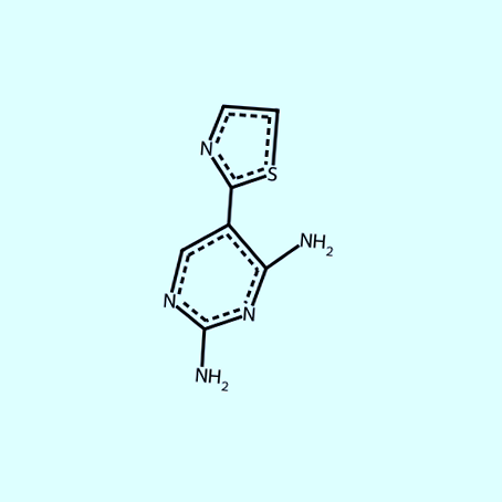 Nc1ncc(-c2nccs2)c(N)n1